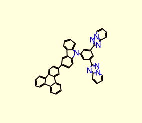 c1ccc2c(c1)c1ccccc1c1cc(-c3ccc4c(c3)c3ccccc3n4-c3cc(-c4nc5ccccn5n4)cc(-c4nc5ccccn5n4)c3)ccc21